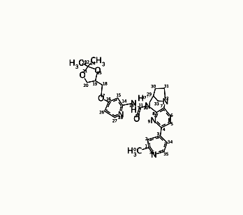 Cc1cc(-c2ccc3c(n2)N(C(=O)Nc2cc(OCC4COC(C)(C)O4)ccn2)[C@H]2CCN3C2)ccn1